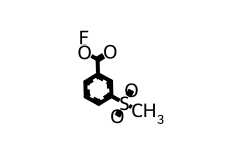 CS(=O)(=O)c1cccc(C(=O)OF)c1